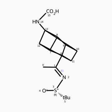 C/C(=N\[S@@+]([O-])C(C)(C)C)C12C3C4C1C1C2C3C41NC(=O)O